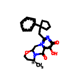 C[C@@H]1CCOC2Cn3c(CC4(c5ccccc5)CCCC4)nc(=O)c(O)c3C(=O)N21